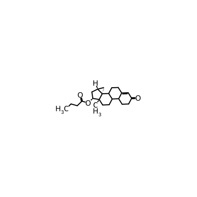 CCCC(=O)O[C@H]1C[C@@H]2C[C@@]23C2CCC4=CC(=O)CCC4C2CC[C@]13C